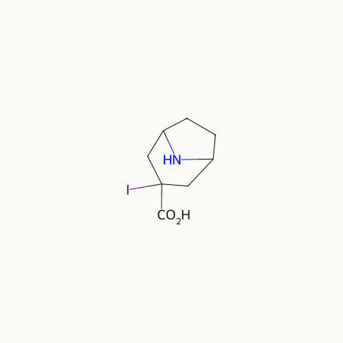 O=C(O)C1(I)CC2CCC(C1)N2